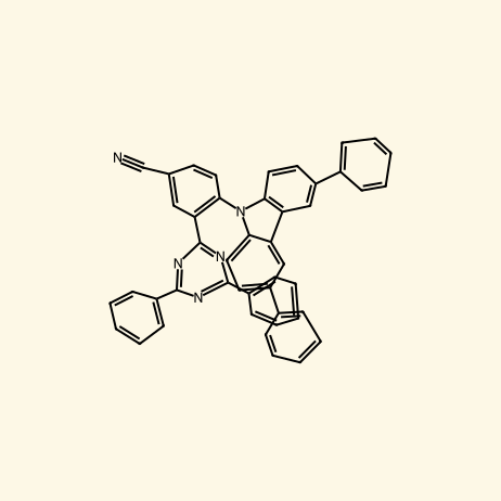 N#Cc1ccc(-n2c3ccc(-c4ccccc4)cc3c3cc(-c4ccccc4)ccc32)c(-c2nc(-c3ccccc3)nc(-c3ccccc3)n2)c1